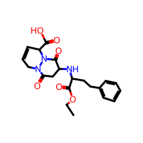 CCOC(=O)C(CCc1ccccc1)NC1CC(=O)N2CC=CC(C(=O)O)N2C1=O